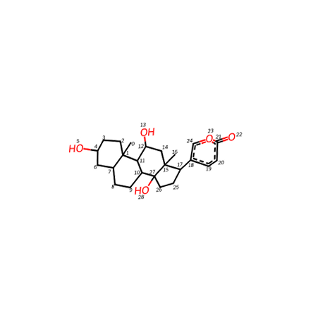 CC12CCC(O)CC1CCC1C2C(O)CC2(C)C(c3ccc(=O)oc3)CCC12O